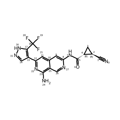 N#C[C@@H]1C[C@H]1C(=O)Nc1cc2cc(-c3cn[nH]c3C(F)(F)F)nc(N)c2cn1